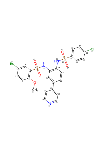 COc1ccc(Br)cc1S(=O)(=O)Nc1cc(-c2ccncc2)ccc1NS(=O)(=O)c1ccc(Cl)cc1